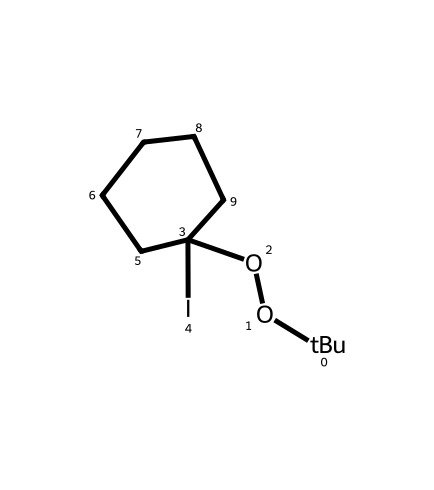 CC(C)(C)OOC1(I)CCCCC1